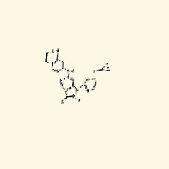 CCn1c(=O)c2cnc(Nc3ccc4c(c3)CNCC4)nc2n1-c1cccc(OC2CC2)n1